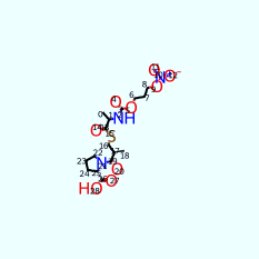 CC(NC(=O)OCCCO[N+](=O)[O-])C(=O)SC[C@@H](C)C(=O)N1CCC[C@H]1C(=O)O